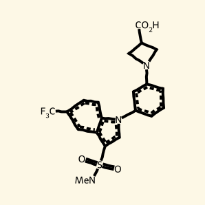 CNS(=O)(=O)c1cn(-c2cccc(N3CC(C(=O)O)C3)c2)c2ccc(C(F)(F)F)cc12